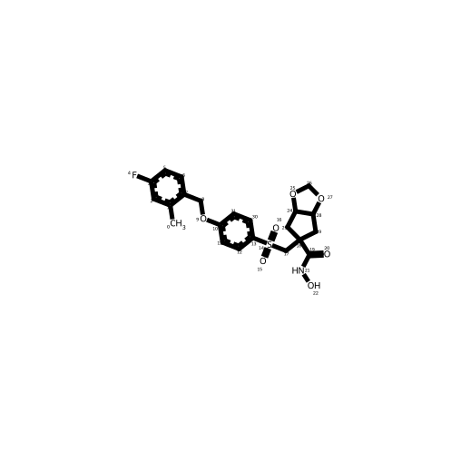 Cc1cc(F)ccc1COc1ccc(S(=O)(=O)CC2(C(=O)NO)CC3OCOC3C2)cc1